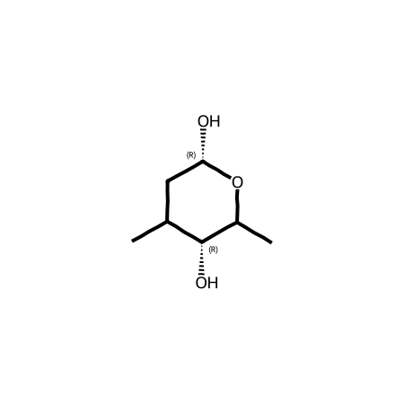 CC1C[C@H](O)OC(C)[C@@H]1O